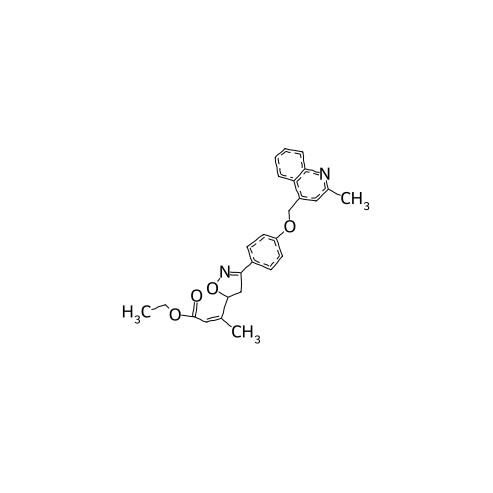 CCOC(=O)/C=C(/C)C1CC(c2ccc(OCc3cc(C)nc4ccccc34)cc2)=NO1